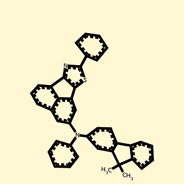 CC1(C)c2ccccc2-c2ccc(N(c3ccccc3)c3cc4c5c(cccc5c3)-c3nc(-c5ccccc5)sc3-4)cc21